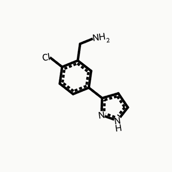 NCc1cc(-c2cc[nH]n2)ccc1Cl